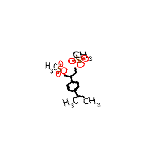 CCC(C)c1ccc(C(CCOS(C)(=O)=O)COS(C)(=O)=O)cc1